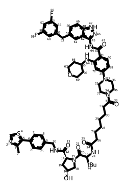 Cc1ncsc1-c1ccc(CNC(=O)[C@@H]2C[C@@H](O)CN2C(=O)C(NC(=O)CCCCCCC(=O)N2CCN(c3ccc(C(=O)Nc4n[nH]c5ccc(Cc6cc(F)cc(F)c6)cc45)c(NC4CCOCC4)c3)CC2)C(C)(C)C)cc1